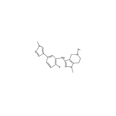 CC(=O)N1CCc2c(c(Nc3cc(-c4cnn(C)c4)ccc3F)nn2C)C1